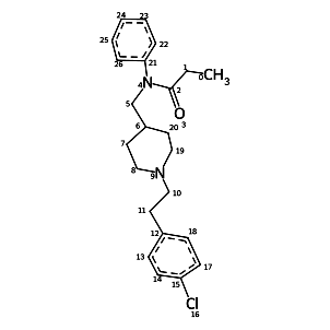 CCC(=O)N(CC1CCN(CCc2ccc(Cl)cc2)CC1)c1ccccc1